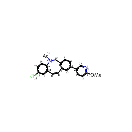 COc1ccc(-c2ccc3c(c2)C=Cc2cc(Cl)ccc2N(C(C)=O)C3)cn1